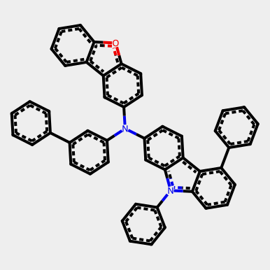 c1ccc(-c2cccc(N(c3ccc4oc5ccccc5c4c3)c3ccc4c5c(-c6ccccc6)cccc5n(-c5ccccc5)c4c3)c2)cc1